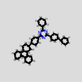 c1ccc(-c2ccc(-c3nc(-c4ccccc4)nc(-c4ccc(-c5ccc6c7ccccc7c7ccccc7c6c5)cc4)n3)cc2)cc1